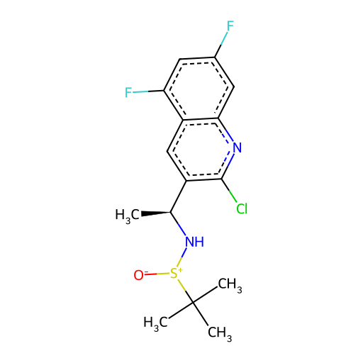 C[C@H](N[S+]([O-])C(C)(C)C)c1cc2c(F)cc(F)cc2nc1Cl